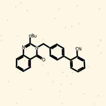 CCCCc1nc2ccccc2c(=O)n1Cc1ccc(-c2ccccc2C#N)cc1